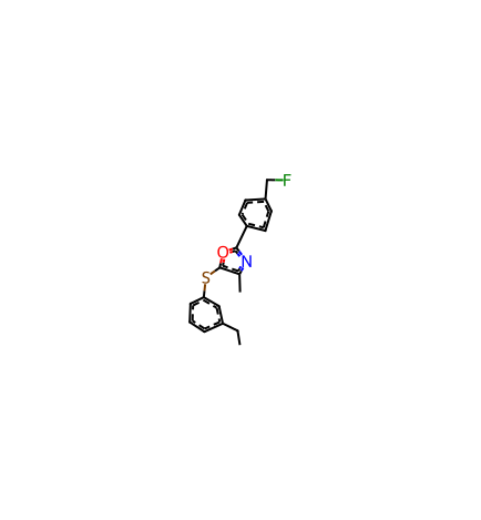 CCc1cccc(Sc2oc(-c3ccc(CF)cc3)nc2C)c1